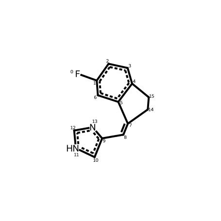 Fc1ccc2c(c1)/C(=C\c1c[nH]cn1)CC2